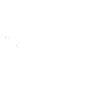 CCN(CC)CCO[CH]c1ccccc1